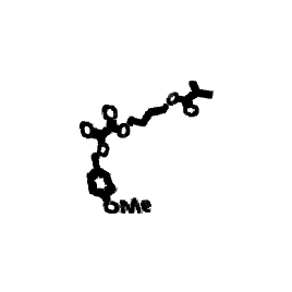 C=C(C)C(=O)OCCCCOC(=O)C(=O)OCc1ccc(OC)cc1